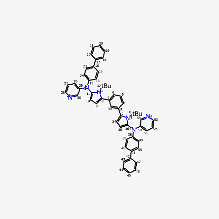 CC(C)(C)n1c(-c2cccc(-c3ccc(N(c4ccc(-c5ccccc5)cc4)c4cccnc4)n3C(C)(C)C)c2)ccc1N(c1ccc(-c2ccccc2)cc1)c1cccnc1